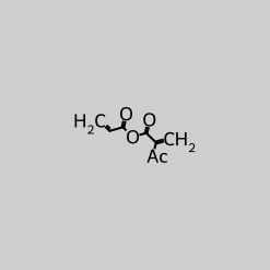 C=CC(=O)OC(=O)C(=C)C(C)=O